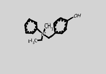 CC[N+](C)(Cc1ccc(O)cc1)c1ccccc1